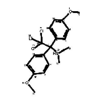 COc1ccc(C(c2ccc(OC)cc2)([SiH](C)C)C(Cl)(Cl)Cl)cc1